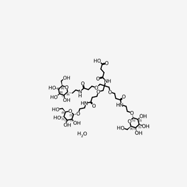 O.O=C(O)CCC(=O)NC(COCCC(=O)NCCO[C@H]1O[C@H](CO)[C@@H](O)[C@H](O)[C@@H]1O)(COCCC(=O)NCCO[C@H]1O[C@H](CO)[C@@H](O)[C@H](O)[C@@H]1O)COCCC(=O)NCC[C@H]1O[C@H](CO)[C@@H](O)[C@H](O)[C@@H]1O